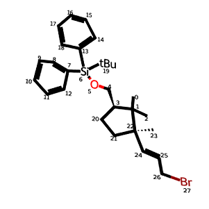 CC1(C)[C@H](CO[Si](c2ccccc2)(c2ccccc2)C(C)(C)C)CC[C@]1(C)/C=C/CBr